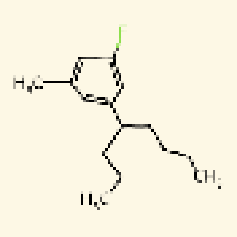 CCCCC(CCC)c1cc(C)cc(F)c1